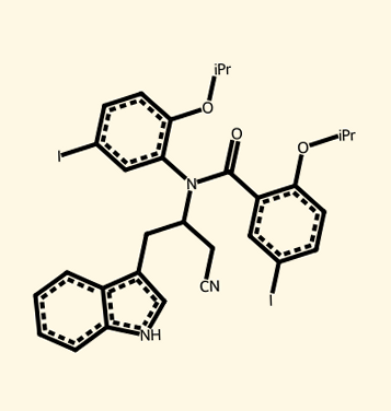 CC(C)Oc1ccc(I)cc1C(=O)N(c1cc(I)ccc1OC(C)C)C(CC#N)Cc1c[nH]c2ccccc12